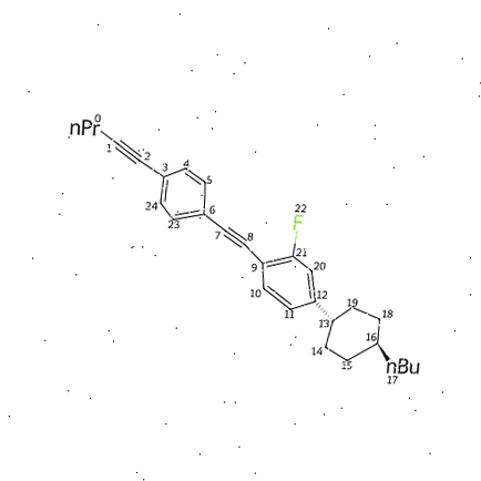 CCCC#Cc1ccc(C#Cc2ccc([C@H]3CC[C@H](CCCC)CC3)cc2F)cc1